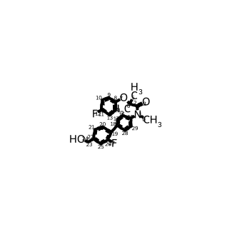 CN(C(=O)C(C)(C)Oc1ccc(F)cc1)c1ccc(-c2ccc(CO)cc2F)cc1